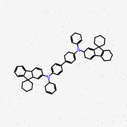 C1=CCC(N(C2=CC3C(C=C2)c2ccccc2C32CCCCC2)c2ccc(C3=CC=C(N(C4=CCCC=C4)C4C=C5C(=CC4)C4=C(CCCC4)C54CCCCC4)CC3)cc2)C=C1